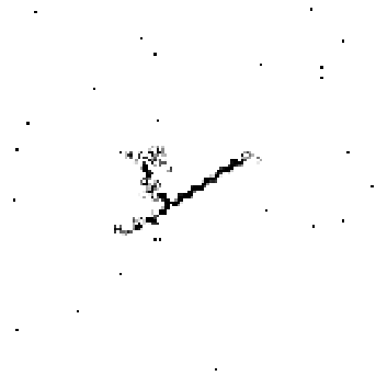 CCCCCCCCCCCCC(COC(=O)NCC)COP(=O)([O-])OCC[N+](C)(C)C